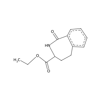 CCOC(=O)C1CCc2ccccc2C(=O)N1